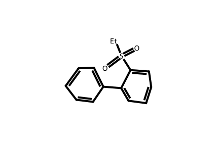 CCS(=O)(=O)c1ccccc1-c1ccccc1